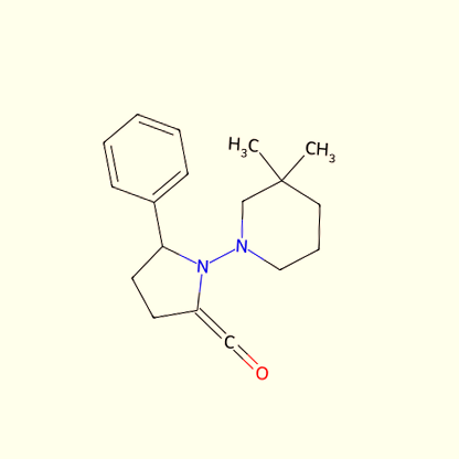 CC1(C)CCCN(N2C(=C=O)CCC2c2ccccc2)C1